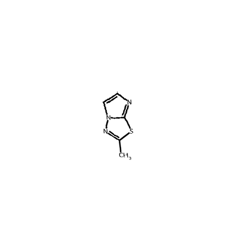 Cc1nn2c[c]nc2s1